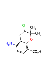 CC1(C)Oc2c(C(=O)O)ccc(N)c2CC1Cl